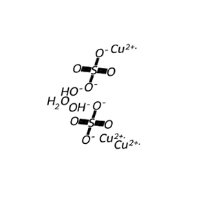 O.O=S(=O)([O-])[O-].O=S(=O)([O-])[O-].[Cu+2].[Cu+2].[Cu+2].[OH-].[OH-]